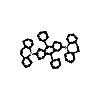 C1=Cc2ccccc2N(c2ccc3c(-c4ccccc4)c4cc(N5c6ccccc6C=Cc6ccccc65)ccc4c(-c4ccccc4)c3c2)c2ccccc21